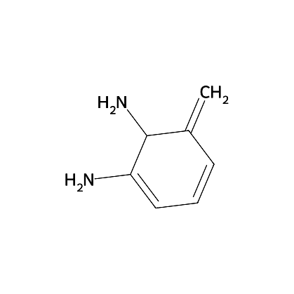 C=C1C=CC=C(N)C1N